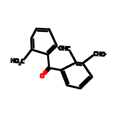 O=[C]c1cccc(C(=O)c2ccccc2C(=O)O)c1[C]=O